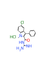 Cl.Cn1c(C(=O)NC(=N)N)c(-c2ccccc2)c2cc(Cl)ccc21